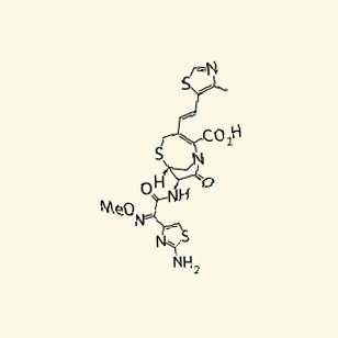 CO/N=C(\C(=O)N[C@@H]1C(=O)N2C[C@H]1SCC(C=Cc1scnc1C)=C2C(=O)O)c1csc(N)n1